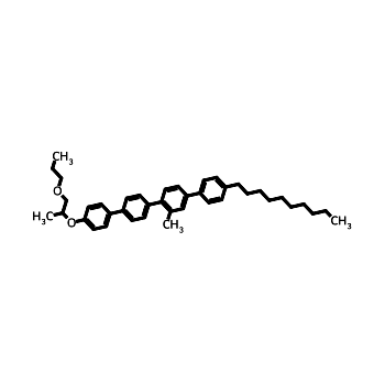 CCCCCCCCCCc1ccc(-c2ccc(-c3ccc(-c4ccc(OC(C)COCCC)cc4)cc3)c(C)c2)cc1